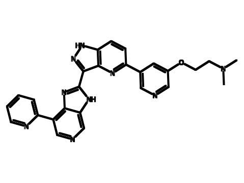 CN(C)CCOc1cncc(-c2ccc3[nH]nc(-c4nc5c(-c6ccccn6)cncc5[nH]4)c3n2)c1